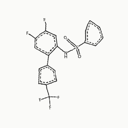 O=S(=O)(Nc1cc(F)c(F)cc1-c1ccc(C(F)(F)F)cc1)c1ccccc1